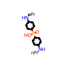 CCCNc1ccc(P(=O)(O)c2ccc(NCCC)cc2)cc1